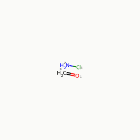 C=O.NCl